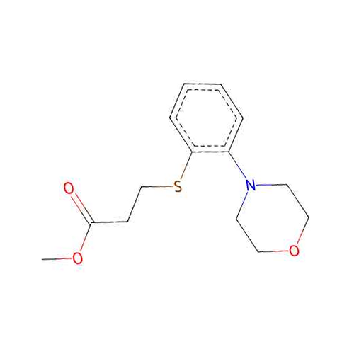 COC(=O)CCSc1ccccc1N1CCOCC1